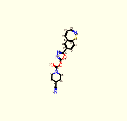 N#CC1CCN(C(=O)Oc2nnc(-c3ccc4c(c3)C=CC=NS4)o2)CC1